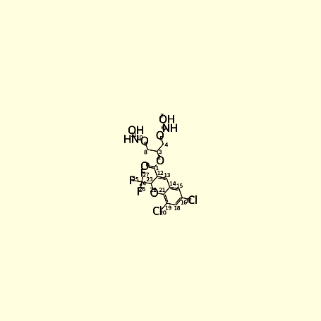 O=C(OC(CONO)CONO)C1=Cc2cc(Cl)cc(Cl)c2OC1C(F)(F)F